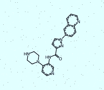 O=C(Nc1cnccc1N1CCNCC1)c1ccn(-c2ccc3ncccc3c2)n1